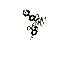 O=C1NC(=O)[C@](CN2Cc3ccc(F)cc3C2=O)(c2ccc(-c3ccncc3)cc2)N1